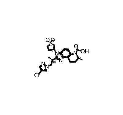 C[C@H](Cn1cc(Cl)cn1)c1nc2c3c(ccc2n1[C@H]1CCS(=O)(=O)C1)N(C(=O)O)[C@@H](C)CC3